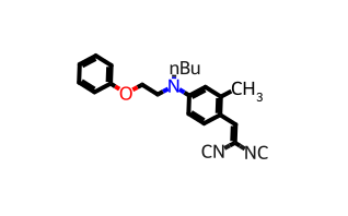 [C-]#[N+]C(=Cc1ccc(N(CCCC)CCOc2ccccc2)cc1C)[N+]#[C-]